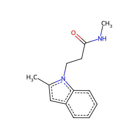 CNC(=O)CCn1c(C)cc2ccccc21